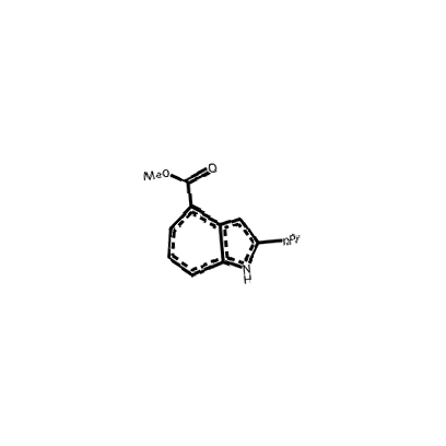 CCCc1cc2c(C(=O)OC)cccc2[nH]1